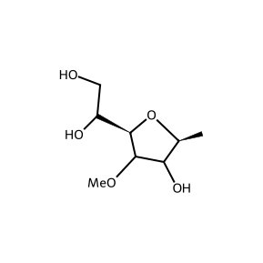 COC1C(O)[C@H](C)O[C@@H]1C(O)CO